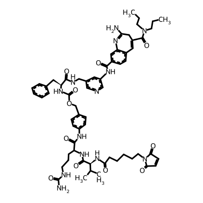 CCCN(CCC)C(=O)C1=Cc2ccc(C(=O)Nc3cncc(CNC(=O)[C@H](Cc4ccccc4)NC(=O)OCc4ccc(NC(=O)C(CCCNC(N)=O)NC(=O)[C@@H](NC(=O)CCCCCN5C(=O)C=CC5=O)C(C)C)cc4)c3)cc2N=C(N)C1